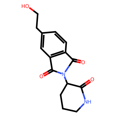 O=C1NCCCC1N1C(=O)c2ccc(CCO)cc2C1=O